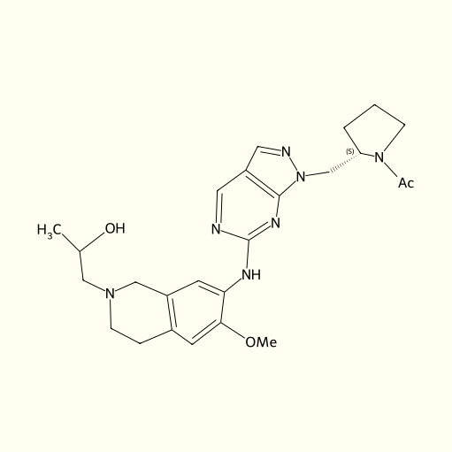 COc1cc2c(cc1Nc1ncc3cnn(C[C@@H]4CCCN4C(C)=O)c3n1)CN(CC(C)O)CC2